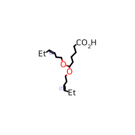 CC/C=C\CCOC(CCCCC(=O)O)OCC/C=C\CC